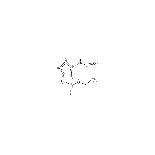 CCOC(C)=O.O=CNc1nccs1